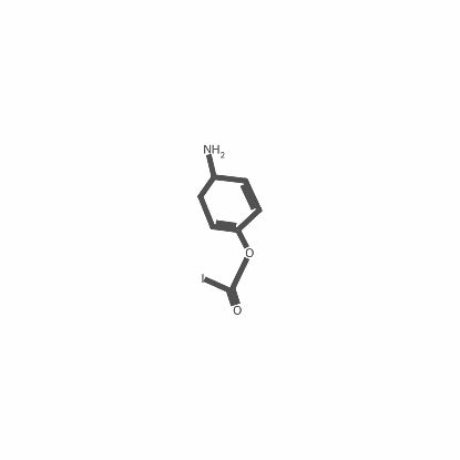 NC1C=CC(OC(=O)I)=CC1